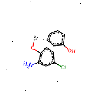 CCOc1ccc(Cl)cc1N.Oc1ccccc1